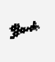 CC/C(=C(/c1ccc(O)cc1)c1ccc(/C=C/C(=O)OC(C)(C)C)cc1)c1ccccc1